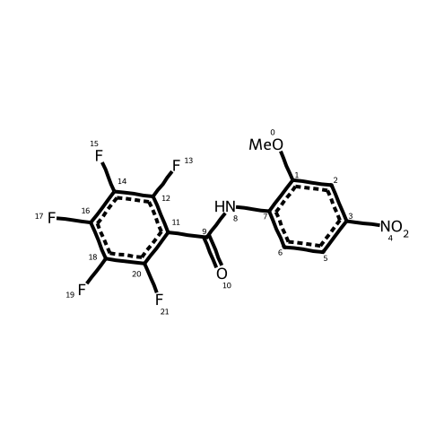 COc1cc([N+](=O)[O-])ccc1NC(=O)c1c(F)c(F)c(F)c(F)c1F